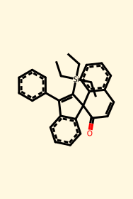 CC[Si](CC)(CC)C1=C(c2ccccc2)c2ccccc2C12C(=O)C=Cc1ccccc12